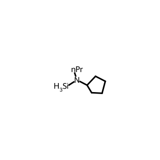 CCCN([SiH3])C1CCCC1